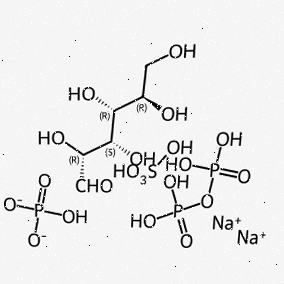 O=C[C@H](O)[C@@H](O)[C@H](O)[C@H](O)CO.O=P(O)(O)OP(=O)(O)O.O=P([O-])([O-])O.O=S(=O)(O)O.[Na+].[Na+]